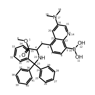 COC(=O)C(Cc1ccc(B(O)O)c2ncc(N(C)C)cc12)NC(c1ccccc1)(c1ccccc1)c1ccccc1